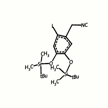 [C-]#[N+]Cc1cc(O[Si](C)(C)C(C)(C)C)c(O[Si](C)(C)C(C)(C)C)cc1I